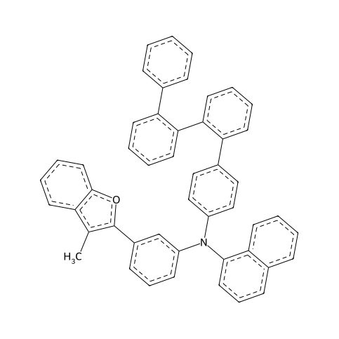 Cc1c(-c2cccc(N(c3ccc(-c4ccccc4-c4ccccc4-c4ccccc4)cc3)c3cccc4ccccc34)c2)oc2ccccc12